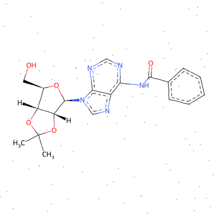 CC1(C)O[C@@H]2[C@H](O1)[C@@H](CO)O[C@H]2n1cnc2c(NC(=O)c3ccccc3)ncnc21